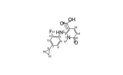 Cn1c(Nc2ccc(C3CC3)cc2F)c(C(=O)O)ccc1=O